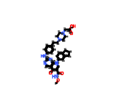 CONC(=O)c1cn(-c2ccc3c(c2)CCC3)c2nc(Nc3ccc(CCN4CCN(CC(=O)O)CC4)cc3)ncc2c1=O